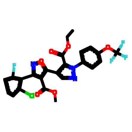 CCOC(=O)c1c(-c2onc(-c3c(F)cccc3Cl)c2C(=O)OC)cnn1-c1ccc(OC(F)(F)F)cc1